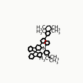 CC(C)(C)c1ccc(N(c2ccccc2)c2cc3c(cc2-c2ccc(-c4ccc5c(c4)C(C)(C)CCC5(C)C)cc2)-c2ccccc2C32c3ccccc3-c3ccccc32)cc1